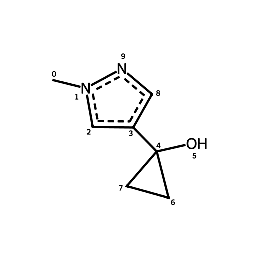 Cn1cc(C2(O)CC2)cn1